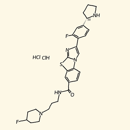 Cl.Cl.O=C(NCCCN1CCC(F)CC1)c1ccc2c(c1)sc1nc(-c3ccc([C@@H]4CCCN4)cc3F)cn12